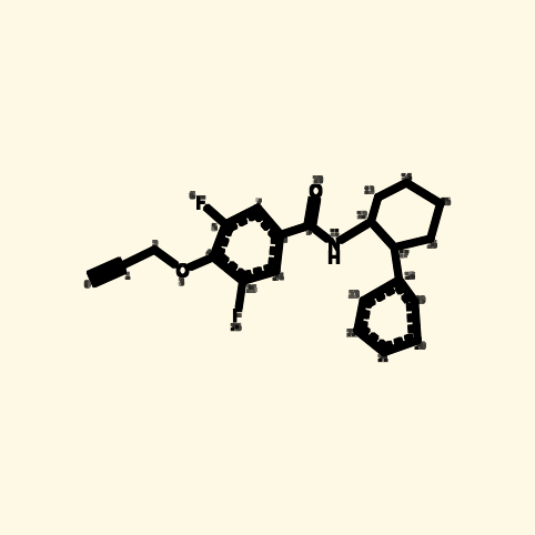 C#CCOc1c(F)cc(C(=O)NC2CCCCC2c2ccccc2)cc1F